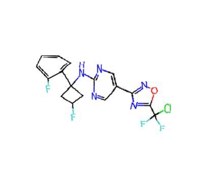 Fc1ccccc1C1(Nc2ncc(-c3noc(C(F)(F)Cl)n3)cn2)CC(F)C1